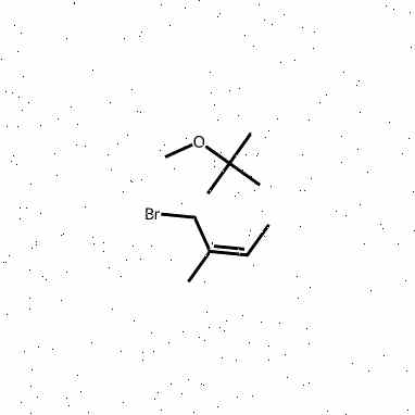 CC=C(C)CBr.COC(C)(C)C